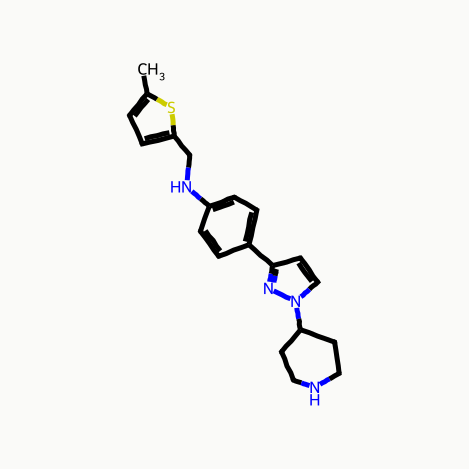 Cc1ccc(CNc2ccc(-c3ccn(C4CCNCC4)n3)cc2)s1